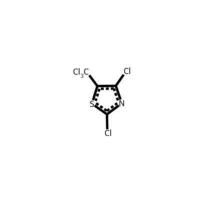 Clc1nc(Cl)c(C(Cl)(Cl)Cl)s1